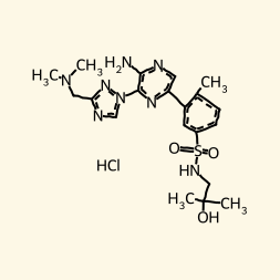 Cc1ccc(S(=O)(=O)NCC(C)(C)O)cc1-c1cnc(N)c(-n2cnc(CN(C)C)n2)n1.Cl